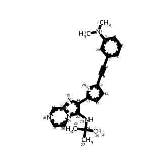 CN(C)c1cccc(C#Cc2ccc(-c3nc4cnccn4c3NC(C)(C)C)s2)c1